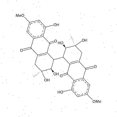 COc1cc(O)c2c(c1)C(=O)C1=C(C2=O)C(C2C3=C(C[C@](C)(O)[C@@H]2O)C(=O)c2cc(OC)cc(O)c2C3=O)[C@@H](O)[C@@](C)(O)C1